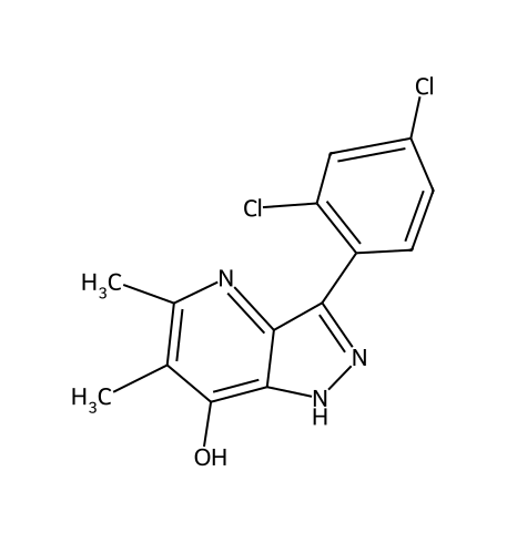 Cc1nc2c(-c3ccc(Cl)cc3Cl)n[nH]c2c(O)c1C